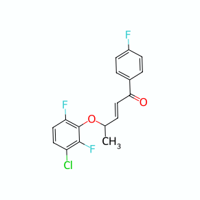 CC(/C=C/C(=O)c1ccc(F)cc1)Oc1c(F)ccc(Cl)c1F